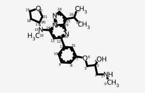 CNCC(O)COc1cccc(-c2cc(N(C)[C@@H]3CCOC3)n3ncc(C(C)C)c3n2)c1